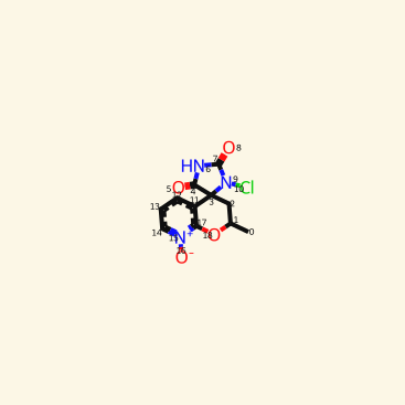 CC1CC2(C(=O)NC(=O)N2Cl)c2ccc[n+]([O-])c2O1